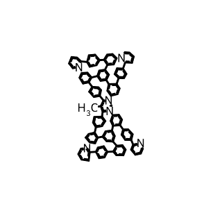 Cc1c(-c2ccc(-c3ccccc3-c3cc(-c4ccccc4-c4ccc(-c5ccccn5)cc4)cc(-c4ccccc4-c4ccc(-c5ccccn5)cc4)c3)cc2)ncnc1-c1ccc(-c2ccccc2-c2cc(-c3ccccc3-c3ccc(-c4ccccn4)cc3)cc(-c3ccccc3-c3ccc(-c4ccccn4)cc3)c2)cc1